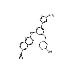 C#Cc1ccc2nc(Nc3cc(CN4CCCC(O)C4)cc(-c4cnn(C)c4)c3)ncc2c1